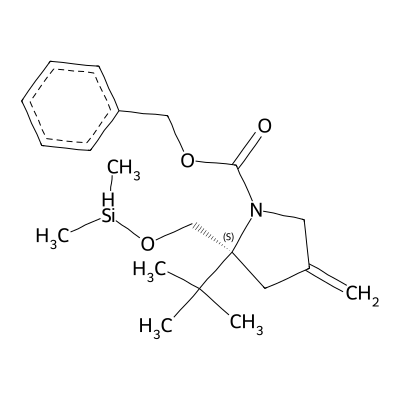 C=C1CN(C(=O)OCc2ccccc2)[C@](CO[SiH](C)C)(C(C)(C)C)C1